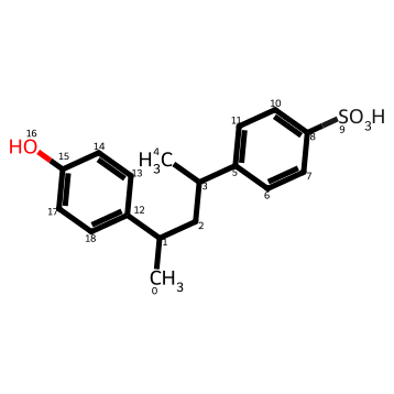 CC(CC(C)c1ccc(S(=O)(=O)O)cc1)c1ccc(O)cc1